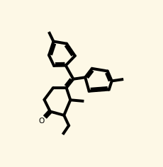 CCC1C(=O)CCC(=C(c2ccc(C)cc2)c2ccc(C)cc2)C1C